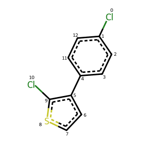 Clc1ccc(-c2ccsc2Cl)cc1